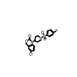 O=C1OCc2cc(Cl)ccc2N1C1CCN(S(=O)(=O)c2ccc(F)cc2)CC1